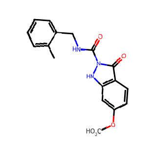 Cc1ccccc1CNC(=O)n1[nH]c2cc(OC(=O)O)ccc2c1=O